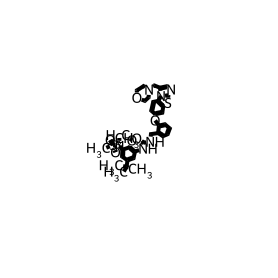 COc1c(NC(=O)NCc2ccccc2Oc2ccc3c(c2)sc2ncc(CN4CCOCC4)n23)cc(C(C)(C)C)cc1N(C)S(C)(=O)=O